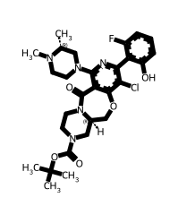 C[C@@H]1CN(c2nc(-c3c(O)cccc3F)c(Cl)c3c2C(=O)N2CCN(C(=O)OC(C)(C)C)C[C@@H]2CO3)CCN1C